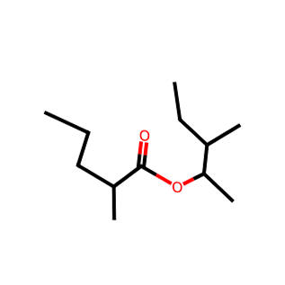 CCCC(C)C(=O)OC(C)C(C)CC